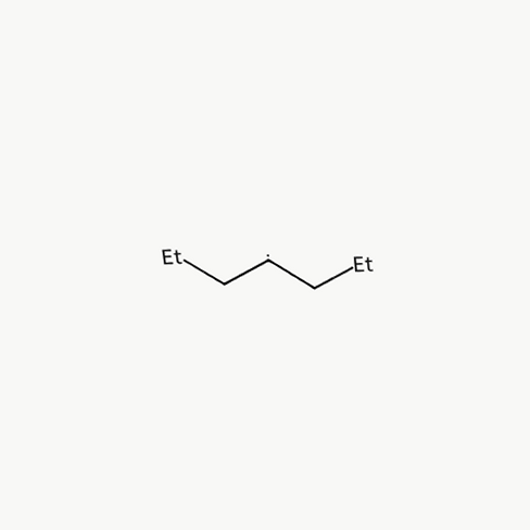 [CH2]CC[CH]CC[CH2]